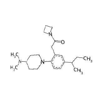 CCC(C)c1ccc(N2CCC(N(C)C)CC2)c(CC(=O)N2CCC2)c1